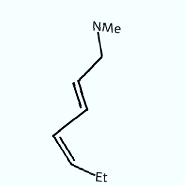 CC/C=C\C=C\CNC